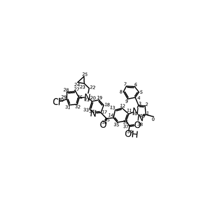 Cc1cc(-c2ccccc2)n(-c2ccc(C(=O)c3ccc(N(CC4CC4)c4ccc(Cl)cc4)cn3)cc2C(=O)O)n1